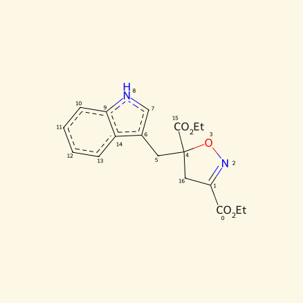 CCOC(=O)C1=NOC(Cc2c[nH]c3ccccc23)(C(=O)OCC)C1